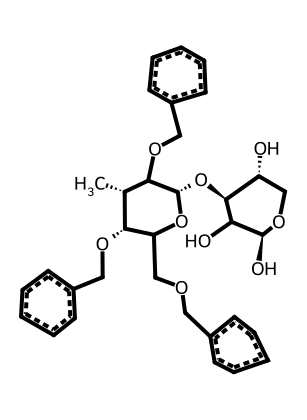 C[C@@H]1C(OCc2ccccc2)[C@H](O[C@@H]2C(O)[C@H](O)OC[C@H]2O)OC(COCc2ccccc2)[C@@H]1OCc1ccccc1